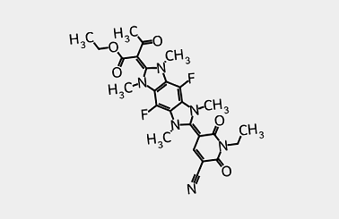 CCOC(=O)C(C(C)=O)=C1N(C)c2c(F)c3c(c(F)c2N1C)N(C)C(=C1C=C(C#N)C(=O)N(CC)C1=O)N3C